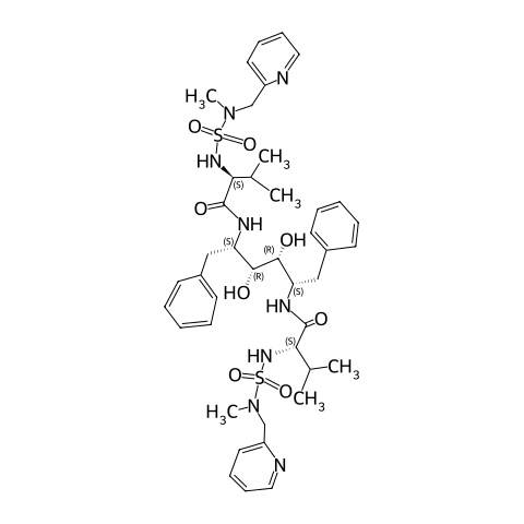 CC(C)[C@H](NS(=O)(=O)N(C)Cc1ccccn1)C(=O)N[C@@H](Cc1ccccc1)[C@@H](O)[C@H](O)[C@H](Cc1ccccc1)NC(=O)[C@@H](NS(=O)(=O)N(C)Cc1ccccn1)C(C)C